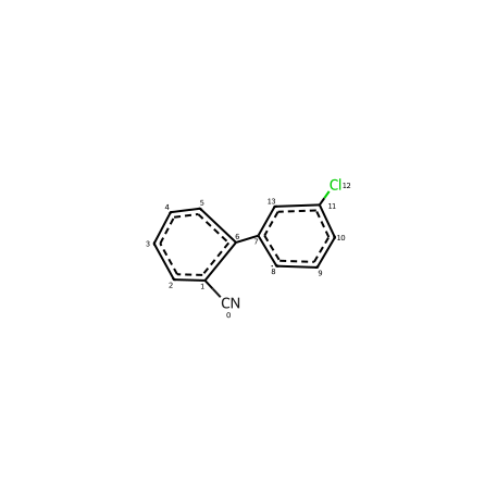 N#Cc1ccccc1-c1[c]ccc(Cl)c1